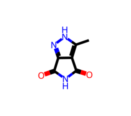 Cc1[nH]nc2c1C(=O)NC2=O